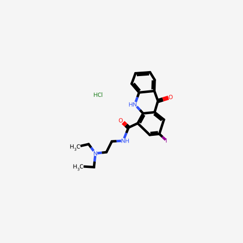 CCN(CC)CCNC(=O)c1cc(I)cc2c(=O)c3ccccc3[nH]c12.Cl